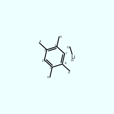 Cc1[c]c(C)c(C)cc1C.[Li][CH3]